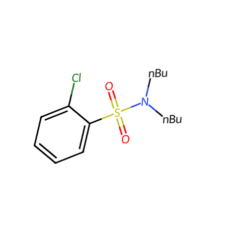 CCCCN(CCCC)S(=O)(=O)c1ccccc1Cl